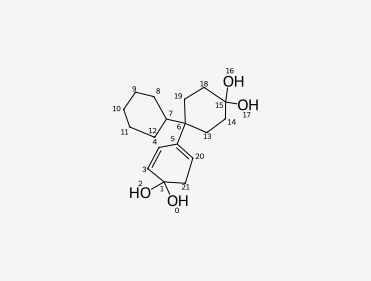 OC1(O)C=CC(C2(C3CCCCC3)CCC(O)(O)CC2)=CC1